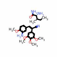 CC[C@@H](C)[C@@H](N)C(N)=O.COc1ccc(/C=C(/C#N)c2cc(OC)c(OC)c(OC)c2)cc1N